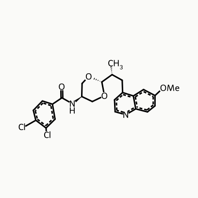 COc1ccc2nccc(C[C@@H](C)[C@H]3OC[C@H](NC(=O)c4ccc(Cl)c(Cl)c4)CO3)c2c1